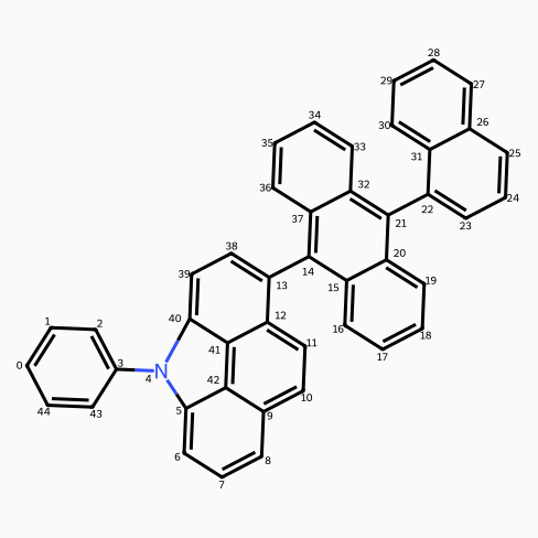 c1ccc(-n2c3cccc4ccc5c(-c6c7ccccc7c(-c7cccc8ccccc78)c7ccccc67)ccc2c5c43)cc1